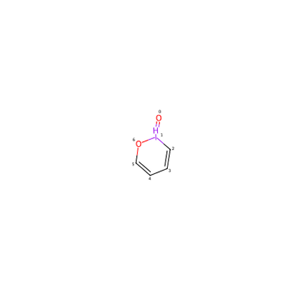 O=[IH]1C=CC=CO1